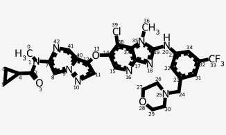 CN(C(=O)C1CC1)c1cn2ncc(Oc3cnc4nc(Nc5cc(CN6CCOCC6)cc(C(F)(F)F)c5)n(C)c4c3Cl)c2cn1